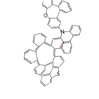 c1ccc(-c2ccccc2N(c2ccc3c(c2)-c2ccccc2-c2ccccc2O3)c2ccc3c(c2)c2ccccc2c2ccccc2c2ccccc2c2c3ccc3sc4ccccc4c32)cc1